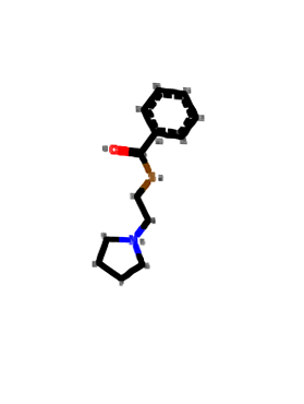 O=C(SCCN1CCCC1)c1ccccc1